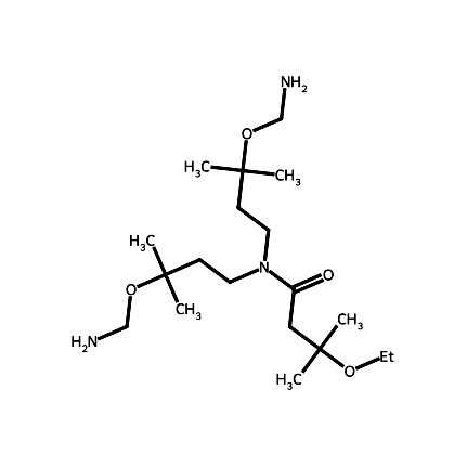 CCOC(C)(C)CC(=O)N(CCC(C)(C)OCN)CCC(C)(C)OCN